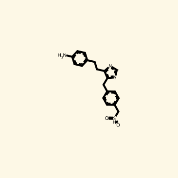 Nc1ccc(CCc2n[c]sc2Cc2ccc(C[SH](=O)=O)cc2)cc1